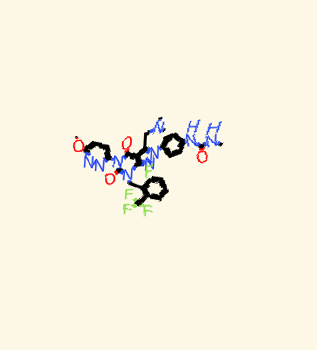 CNC(=O)Nc1ccc(-n2nc3c(c2CN(C)C)c(=O)n(-c2ccc(OC)nn2)c(=O)n3Cc2c(F)cccc2C(F)(F)F)cc1